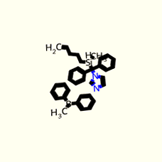 C=CCCC[SiH](C)C(c1ccccc1)(c1ccccc1)n1ccnc1.CB(c1ccccc1)c1ccccc1